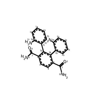 NC(=O)c1ccc(C(N)=O)c(-c2ccccc2N)c1-c1ccccc1N